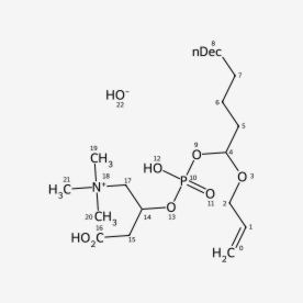 C=CCOC(CCCCCCCCCCCCC)OP(=O)(O)OC(CC(=O)O)C[N+](C)(C)C.[OH-]